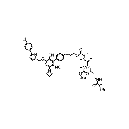 [C-]#[N+]c1c(N2CCC2)nc(SCc2csc(-c3ccc(Cl)cc3)n2)c(C#N)c1-c1ccc(OCCOC(=O)[C@H](C)NC(=O)[C@H](CCCCNC(=O)OC(C)(C)C)NC(=O)OC(C)(C)C)cc1